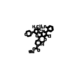 CC(C)(C)OC(=O)N1CCN2C(=O)c3c(N4CC(N5CCOCC5)CC4(C)C)nc(-c4ccccc4F)c(Cl)c3OC[C@H]2C1